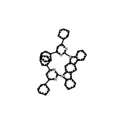 c1ccc(-c2cc(-c3ccccc3)nc(-n3c4ccccc4c4cc5c6ccccc6n(-c6nc(-c7ccccc7)cc(-c7ccccc7)n6)c5cc43)n2)cc1